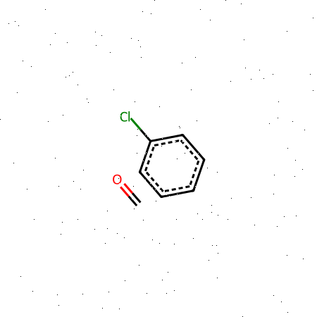 C=O.Clc1ccccc1